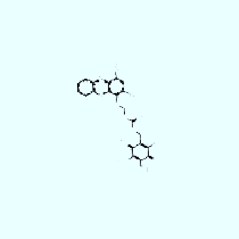 CC1=C(C)C(=O)C(COC(=O)OCOc2c(Br)cc(Br)c3nc4ccccc4nc23)=C(C)C1=O